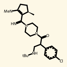 CNC1=C(C(=N)N2CCN(C(=O)C(CNC(C)(C)C)c3ccc(Cl)cc3)CC2)[C@H](C)CC1